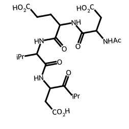 CC(=O)NC(CC(=O)O)C(=O)NC(CCC(=O)O)C(=O)NC(C(=O)NC(CC(=O)O)C(=O)C(C)C)C(C)C